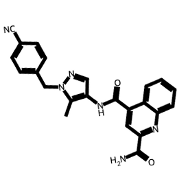 Cc1c(NC(=O)c2cc(C(N)=O)nc3ccccc23)cnn1Cc1ccc(C#N)cc1